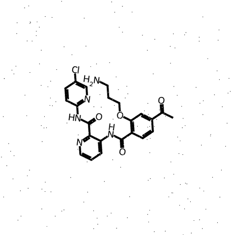 CC(=O)c1ccc(C(=O)Nc2cccnc2C(=O)Nc2ccc(Cl)cn2)c(OCCCN)c1